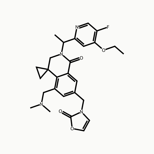 CCOc1cc(C(C)N2CC3(CC3)c3c(CN(C)C)cc(Cn4ccoc4=O)cc3C2=O)ncc1F